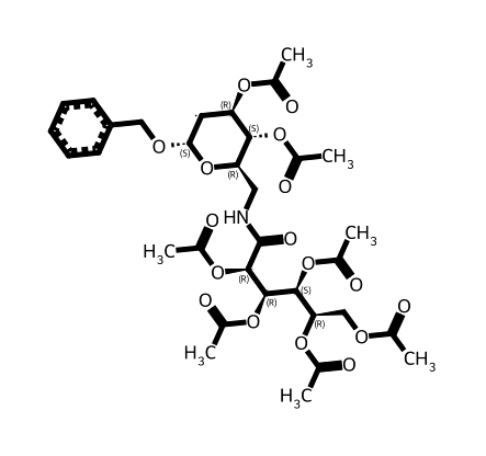 CC(=O)OC[C@@H](OC(C)=O)[C@H](OC(C)=O)[C@@H](OC(C)=O)[C@@H](OC(C)=O)C(=O)NC[C@H]1O[C@H](OCc2ccccc2)[CH][C@@H](OC(C)=O)[C@@H]1OC(C)=O